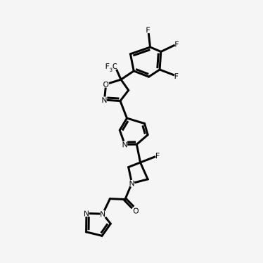 O=C(Cn1cccn1)N1CC(F)(c2ccc(C3=NOC(c4cc(F)c(F)c(F)c4)(C(F)(F)F)C3)cn2)C1